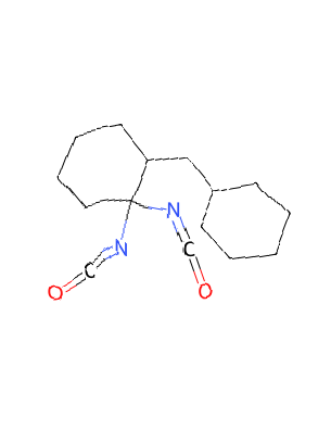 O=C=NC1(N=C=O)CCCCC1CC1CCCCC1